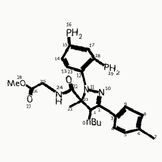 CCCCC1C(c2ccc(C)cc2)=NN(c2ccc(P)cc2P)C1(C)C(=O)NCC(=O)OC